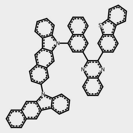 c1ccc2cc3c(cc2c1)c1ccccc1n3-c1ccc2cc3c4ccccc4n(-c4cc(-c5nc6ccccc6nc5-c5ccc6c(c5)sc5ccccc56)cc5ccccc45)c3cc2c1